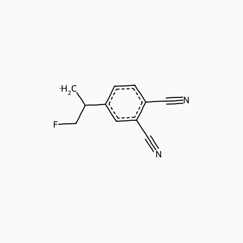 [CH2]C(CF)c1ccc(C#N)c(C#N)c1